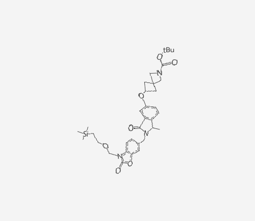 CC1c2ccc(OC3CC4(C3)CN(C(=O)OC(C)(C)C)C4)cc2C(=O)N1Cc1ccc2c(c1)oc(=O)n2COCC[Si](C)(C)C